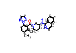 Cc1ccc(-n2nccn2)c(C(=O)N2CCCC(Nc3nccc4ccccc34)C2)c1C